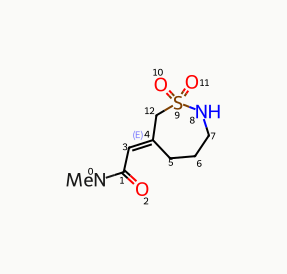 CNC(=O)/C=C1\CCCNS(=O)(=O)C1